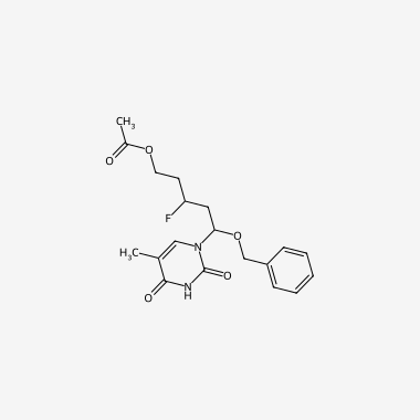 CC(=O)OCCC(F)CC(OCc1ccccc1)n1cc(C)c(=O)[nH]c1=O